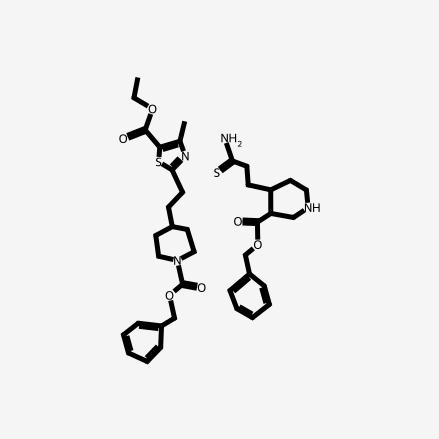 CCOC(=O)c1sc(CCC2CCN(C(=O)OCc3ccccc3)CC2)nc1C.NC(=S)CCC1CCNCC1C(=O)OCc1ccccc1